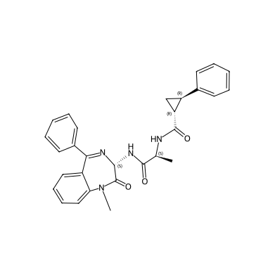 C[C@H](NC(=O)[C@@H]1C[C@H]1c1ccccc1)C(=O)N[C@H]1N=C(c2ccccc2)c2ccccc2N(C)C1=O